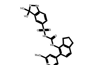 COc1cc(-c2ccc3c(c2NC(=O)NS(=O)(=O)c2ccc4c(c2)C(O)(O)OB4)CCC3)ccn1